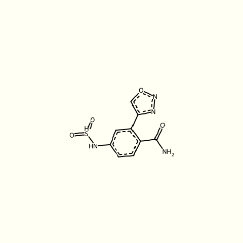 NC(=O)c1ccc(N[SH](=O)=O)cc1-c1conn1